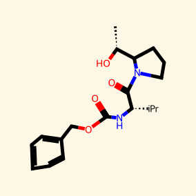 CC(C)[C@H](NC(=O)OCc1ccccc1)C(=O)N1CCCC1[C@@H](C)O